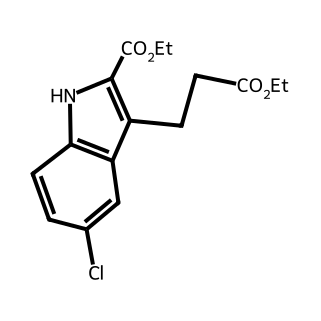 CCOC(=O)CCc1c(C(=O)OCC)[nH]c2ccc(Cl)cc12